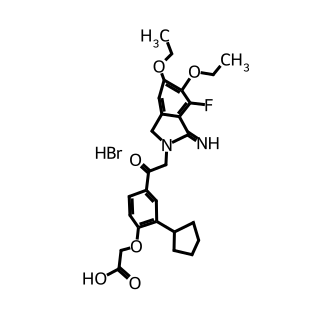 Br.CCOc1cc2c(c(F)c1OCC)C(=N)N(CC(=O)c1ccc(OCC(=O)O)c(C3CCCC3)c1)C2